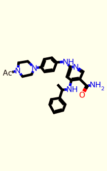 CC(=O)N1CCN(c2ccc(Nc3cc(NC(C)c4ccccc4)c(C(N)=O)cn3)cc2)CC1